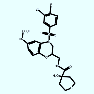 CC1(C(=O)NCC2CN(S(=O)(=O)c3ccc(F)c(Cl)c3)c3cc(NC(=O)O)ccc3O2)CCOCC1